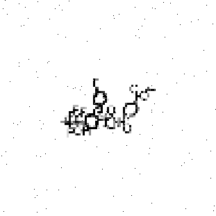 CCOC(=O)C1CCN(C(=O)N2CC[C@](c3ccc(C(O)(C(F)(F)F)C(F)(F)F)cc3)(S(=O)(=O)c3ccc(F)cc3)C2)CC1